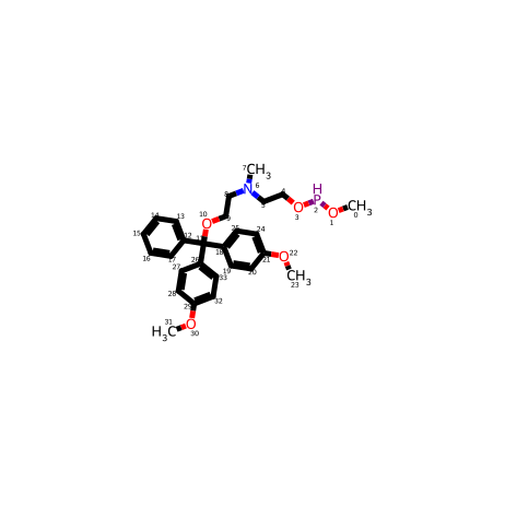 COPOCCN(C)CCOC(c1ccccc1)(c1ccc(OC)cc1)c1ccc(OC)cc1